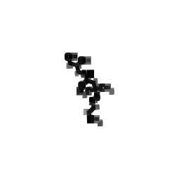 CC(C)(CC(=O)NCC(O)CO)SSCCN